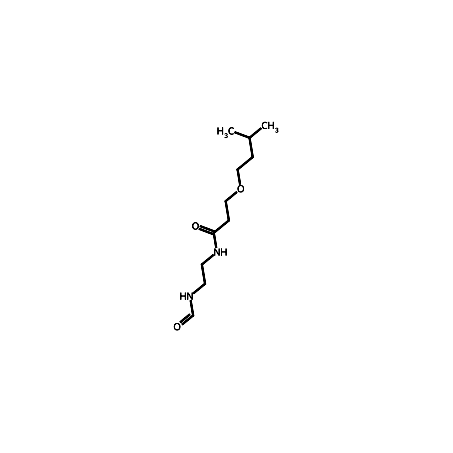 CC(C)CCOCCC(=O)NCCNC=O